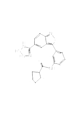 O=C(Nc1cccc(-c2onc3ccc(C4=NNNN4)cc23)c1)C1CCCC1